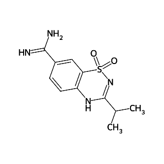 CC(C)C1=NS(=O)(=O)c2cc(C(=N)N)ccc2N1